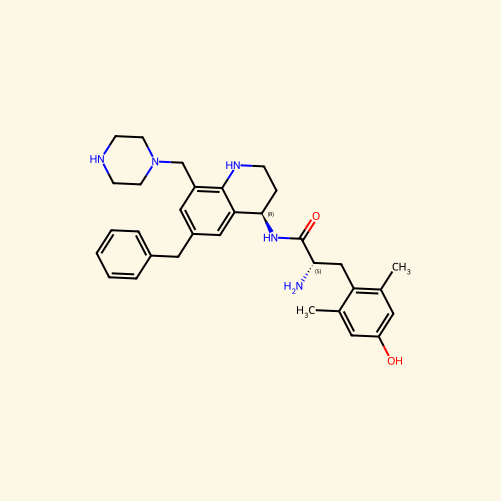 Cc1cc(O)cc(C)c1C[C@H](N)C(=O)N[C@@H]1CCNc2c(CN3CCNCC3)cc(Cc3ccccc3)cc21